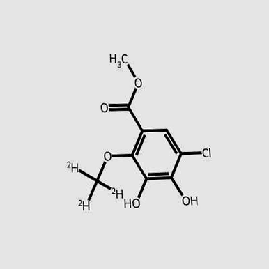 [2H]C([2H])([2H])Oc1c(C(=O)OC)cc(Cl)c(O)c1O